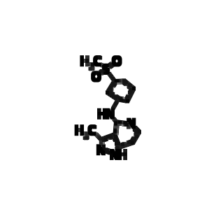 Cc1n[nH]c2ccnc(Nc3cccc(S(C)(=O)=O)c3)c12